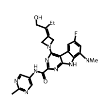 CCC(CO)=C1CN(c2nc(C(=O)Nc3cnc(C)nc3)nc3[nH]c4c(NC)cc(F)cc4c23)C1